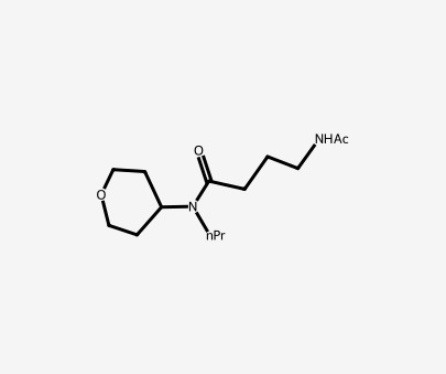 [CH2-][CH+]CN(C(=O)CCCNC(C)=O)C1CCOCC1